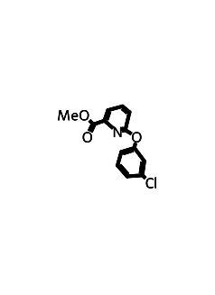 COC(=O)c1cccc(Oc2cccc(Cl)c2)n1